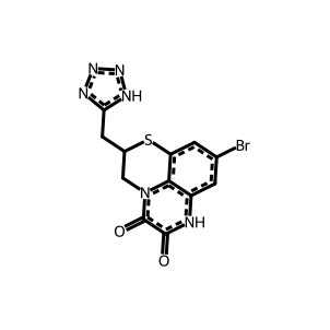 O=c1[nH]c2cc(Br)cc3c2n(c1=O)CC(Cc1nnn[nH]1)S3